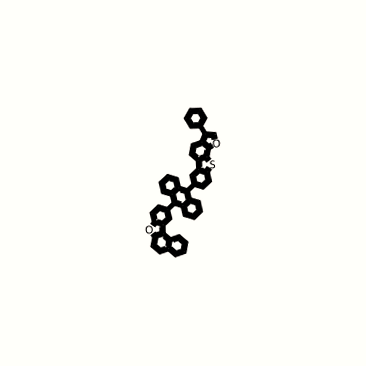 c1ccc(-c2coc3c2ccc2c4cc(-c5c6ccccc6c(-c6ccc7oc8ccc9ccccc9c8c7c6)c6ccccc56)ccc4sc23)cc1